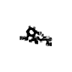 CCOc1cccc(C(F)(F)F)c1S(=O)(=O)OCO[PH](=O)O